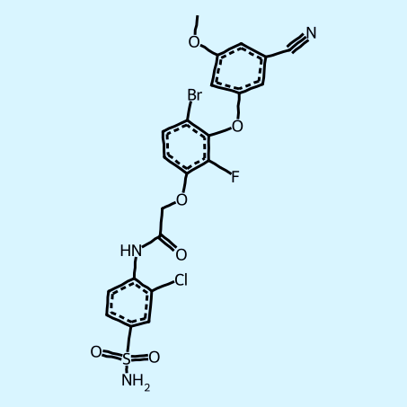 COc1cc(C#N)cc(Oc2c(Br)ccc(OCC(=O)Nc3ccc(S(N)(=O)=O)cc3Cl)c2F)c1